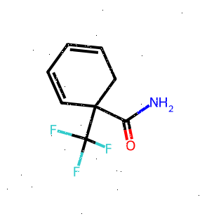 NC(=O)C1(C(F)(F)F)C=CC=CC1